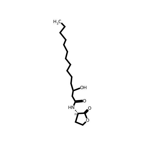 CCCCCCCCCCCC(O)CC(=O)N[C@H]1CCOC1=O